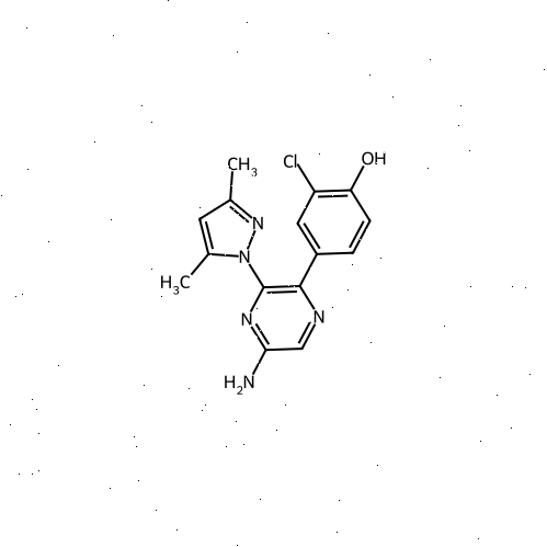 Cc1cc(C)n(-c2nc(N)cnc2-c2ccc(O)c(Cl)c2)n1